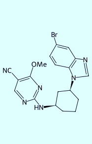 COc1nc(N[C@@H]2CCC[C@H](n3cnc4cc(Br)ccc43)C2)ncc1C#N